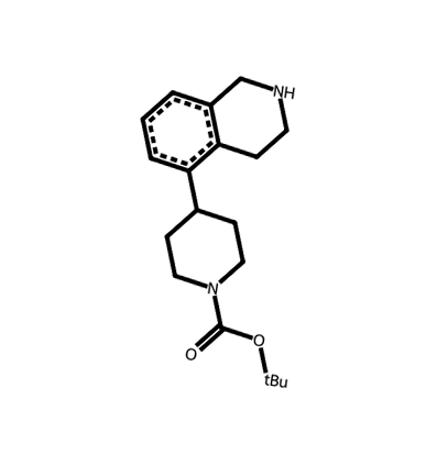 CC(C)(C)OC(=O)N1CCC(c2cccc3c2CCNC3)CC1